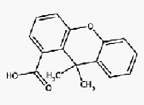 CC1(C)c2ccccc2Oc2cccc(C(=O)O)c21